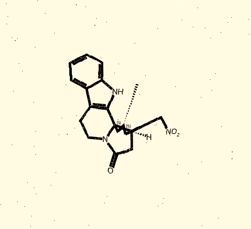 C[C@H]1CC23c4[nH]c5ccccc5c4CCN2C(=O)C[C@H]3C1C[N+](=O)[O-]